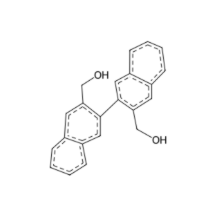 OCc1cc2ccccc2cc1-c1cc2ccccc2cc1CO